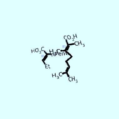 CC(C)=CCC/C(C)=C(\C)C(=O)O.CC/C=C(\CCCCC)C(=O)O